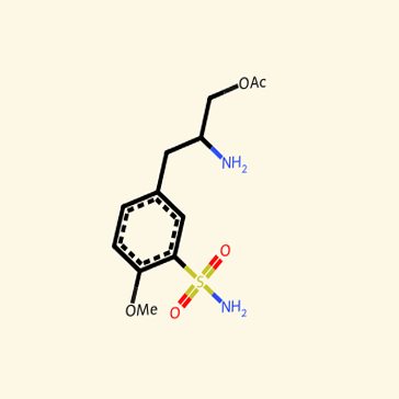 COc1ccc(CC(N)COC(C)=O)cc1S(N)(=O)=O